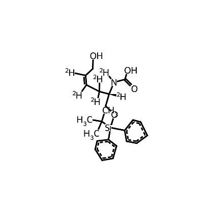 [2H]/C(CO)=C(\[2H])C([2H])([2H])[C@@]([2H])(CO[Si](c1ccccc1)(c1ccccc1)C(C)(C)C)N([2H])C(=O)O